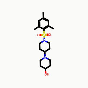 Cc1cc(C)c(S(=O)(=O)N2CCC(N3CCC(O)CC3)CC2)c(C)c1